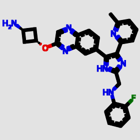 Cc1cccc(-c2nc(CNc3ccccc3F)[nH]c2-c2ccc3ncc(O[C@H]4C[C@H](N)C4)nc3c2)n1